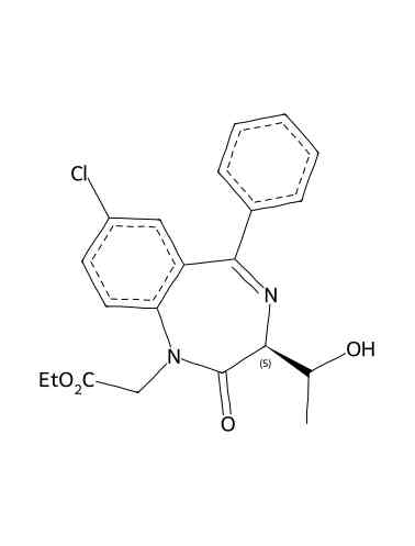 CCOC(=O)CN1C(=O)[C@H](C(C)O)N=C(c2ccccc2)c2cc(Cl)ccc21